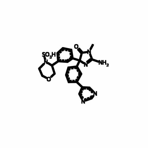 CN1C(=O)C(c2cccc(-c3cncnc3)c2)(c2cccc(C3COCCN3S(=O)(=O)O)c2)N=C1N